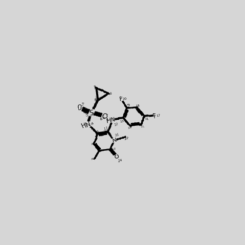 Cc1cc(NS(=O)(=O)C2CC2)c(Nc2ccc(F)cc2F)n(C)c1=O